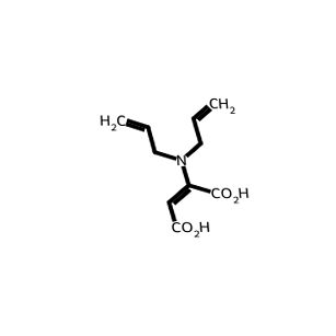 C=CCN(CC=C)/C(=C/C(=O)O)C(=O)O